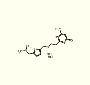 Cc1cc(=O)nc(CCSCc2ccc(CN(C)C)o2)[nH]1.Cl.Cl